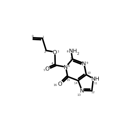 C=CCOC(=O)n1c(N)nc2[nH]cnc2c1=O